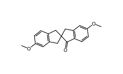 COc1ccc2c(c1)CC1(C2)Cc2cc(OC)ccc2C1=O